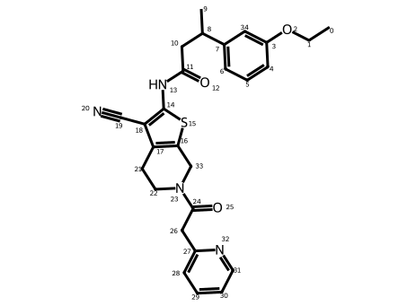 CCOc1cccc(C(C)CC(=O)Nc2sc3c(c2C#N)CCN(C(=O)Cc2ccccn2)C3)c1